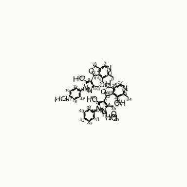 Cc1ncc2c(c1O)C(c1c(C)nn(-c3ccccc3)c1O)OC2.Cc1ncc2c(c1O)C(c1c(C)nn(-c3ccccc3)c1O)OC2.Cl.Cl.O